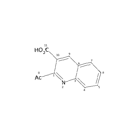 CC(=O)c1nc2ccccc2cc1C(=O)O